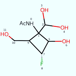 CC(=O)NC1(C(O)O)C(O)[C@H](F)C1CO